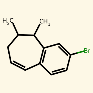 CC1CC=Cc2ccc(Br)cc2C1C